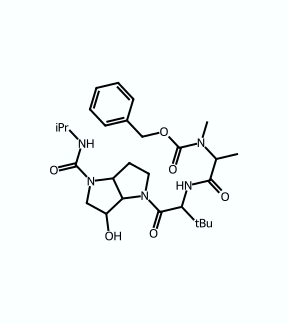 CC(C)NC(=O)N1CC(O)C2C1CCN2C(=O)C(NC(=O)C(C)N(C)C(=O)OCc1ccccc1)C(C)(C)C